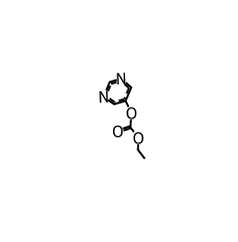 CCOC(=O)Oc1cncnc1